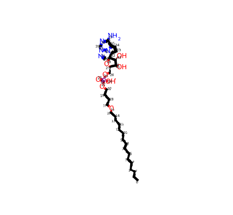 CCCCCCCCCCCCCCCCOCCCCOP(=O)(O)OC[C@H]1O[C@@](C#N)(c2ccc3c(N)ncnn23)[C@H](O)[C@@H]1O